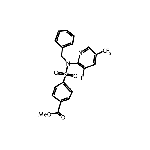 COC(=O)c1ccc(S(=O)(=O)N(Cc2ccccc2)c2ncc(C(F)(F)F)cc2F)cc1